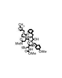 CNC(=O)CC(C(=O)NC(Cc1ccccc1)C(O)CN(Cc1ccc(OC)cc1)NC(=O)C(NC(=O)OC)C(C)(C)C)N1CCN(Cc2csc(C)n2)C1=O